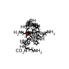 CC(=O)N1CCC[C@H]1C(=O)N[C@@H](CCCCN)C(=O)N[C@@H](Cc1cn(CCP(=O)(O)O)nn1)C(=O)N[C@@H](C)C(=O)N[C@@H](CCCCN)C(=O)N[C@@H](Cc1cn(CCP(=O)(O)O)nn1)C(=O)N[C@@H](C)C(=O)N[C@@H](CCCCN)C(=O)O